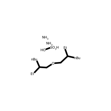 CCCCC(CC)COCC(CC)CCCC.N.N.O=S(=O)(O)O